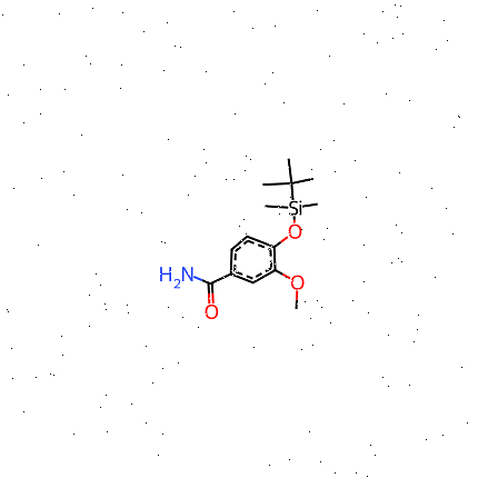 COc1cc(C(N)=O)ccc1O[Si](C)(C)C(C)(C)C